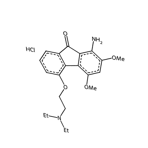 CCN(CC)CCOc1cccc2c1-c1c(OC)cc(OC)c(N)c1C2=O.Cl